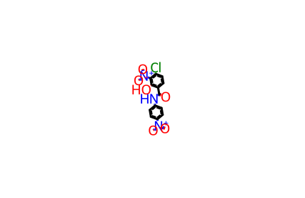 O=C(Nc1ccc([N+](=O)[O-])cc1)c1ccc(Cl)c([N+](=O)[O-])c1O